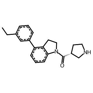 CCc1cccc(-c2cccc3c2CCN3C(=O)[C@@H]2CCNC2)c1